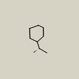 O[C@H](I)C1CCCCC1